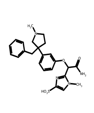 CN1CCC(Cc2ccccc2)(c2cccc(OC(C(N)=O)c3nc(S(=O)(=O)O)cn3C)c2)C1